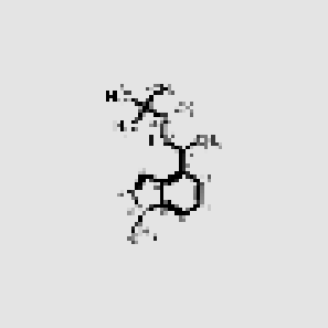 C[C@H](N[S@@+]([O-])C(C)(C)C)c1cccc2c1cnn2C